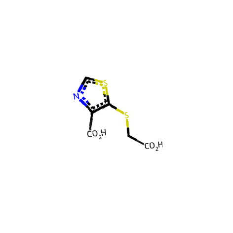 O=C(O)CSc1scnc1C(=O)O